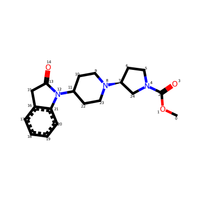 COC(=O)N1CC[C@H](N2CCC(N3C(=O)Cc4ccccc43)CC2)C1